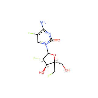 Nc1nc(=O)n(C2O[C@@](CO)(CF)[C@@H](O)[C@@H]2F)cc1F